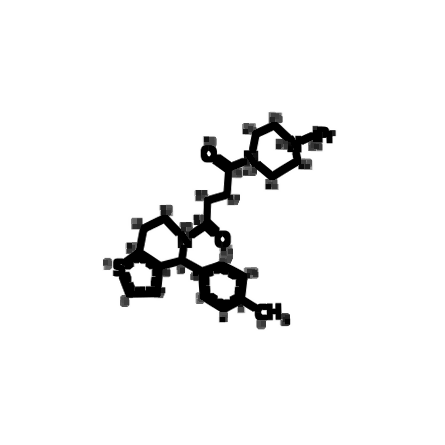 Cc1ccc(C2c3ccsc3CCN2C(=O)CCC(=O)N2CCN(C(C)C)CC2)cc1